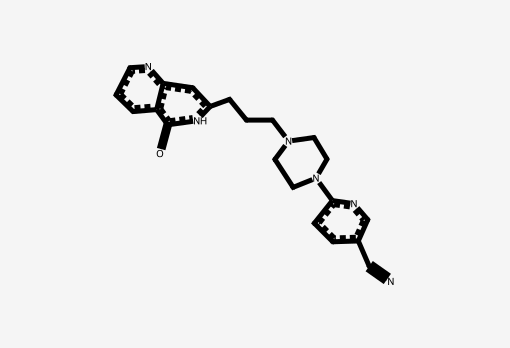 N#Cc1ccc(N2CCN(CCCc3cc4ncccc4c(=O)[nH]3)CC2)nc1